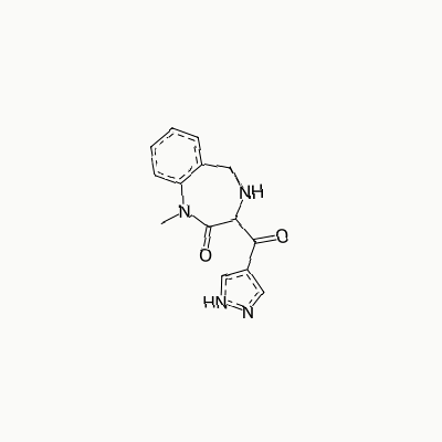 CN1C(=O)C(C(=O)c2cn[nH]c2)NCc2ccccc21